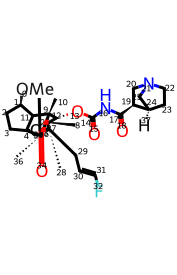 CO[C@@H]1CCC23CC[C@@H](C)[C@](C)(C12)[C@H](OC(=O)NC(=O)[C@H]1CN2CC[C@@H]1C2)C[C@@](C)(CC=CF)C(=O)[C@@H]3C